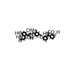 COc1cc(COc2cccc([C@@H](NC(=O)O)c3ccccc3)c2)ccc1CNC[C@H](O)c1ccc(O)c2[nH]c(=O)ccc12